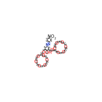 O=[N+]([O-])c1ccc(/N=N/c2cc(COCC3COCCOCCOCCOCCOCCO3)c(O)c(COCC3COCCOCCOCCOCCOCCO3)c2)cc1